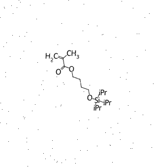 C=C(C)C(=O)OCCCCO[Si](C(C)C)(C(C)C)C(C)C